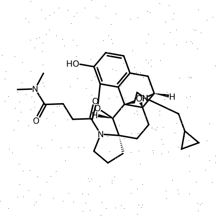 CN(C)C(=O)CCC(=O)N1CCC[C@]12CC[C@@]1(O)[C@H]3Cc4ccc(O)c5c4[C@@]1(CCN3CC1CC1)[C@H]2O5